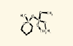 CO[Si](OC)(OC)O[Si]1(C)CCCCO1